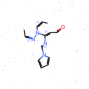 C/C=C\N(/N=C\C)C(=C/C=O)/N=C/n1cccc1